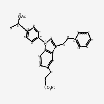 CCOC(=O)CCc1ccc2c(c1)c(CCc1ccccc1)cn2-c1ccc(C(C)OC(C)=O)cc1